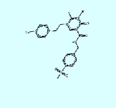 Cc1c(Br)c(=O)c(C(=O)NCc2ccc(S(C)(=O)=O)cc2)cn1CCc1ccc(C#N)cc1